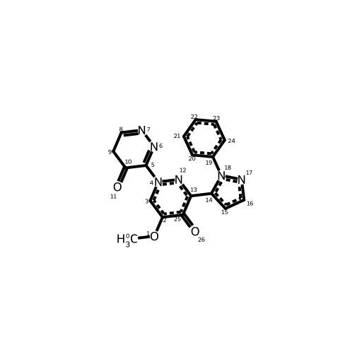 COc1cn(C2=NN=CCC2=O)nc(-c2ccnn2-c2ccccc2)c1=O